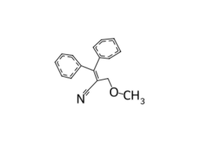 COCC(C#N)=C(c1ccccc1)c1ccccc1